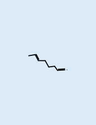 [CH]=CCCCC=CC